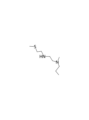 CCCN(C)CCNCCSC